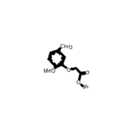 COc1ccc(C=O)cc1OCC(=O)OC(C)C